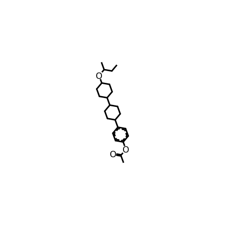 CCC(C)OC1CCC(C2CCC(c3ccc(OC(C)=O)cc3)CC2)CC1